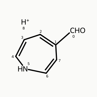 O=CC1=CC=CNC=C1.[H+]